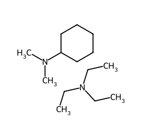 CCN(CC)CC.CN(C)C1CCCCC1